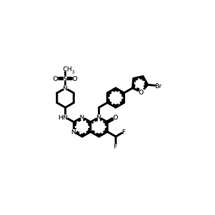 CS(=O)(=O)N1CCC(Nc2ncc3cc(C(F)F)c(=O)n(Cc4ccc(-c5ccc(Br)o5)cc4)c3n2)CC1